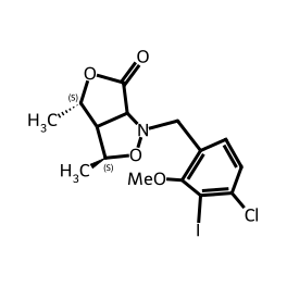 COc1c(CN2O[C@@H](C)C3C2C(=O)O[C@H]3C)ccc(Cl)c1I